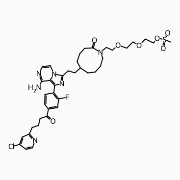 CS(=O)(=O)OCCOCCOCCN1CCCCC(CCc2nc(-c3ccc(C(=O)CCCc4cc(Cl)ccn4)cc3F)c3c(N)nccn23)CCCC1=O